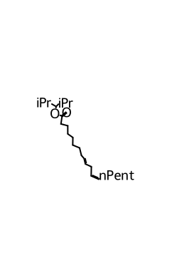 CCCCC/C=C\C/C=C/CCCCCCCC(=O)OC(C(C)C)C(C)C